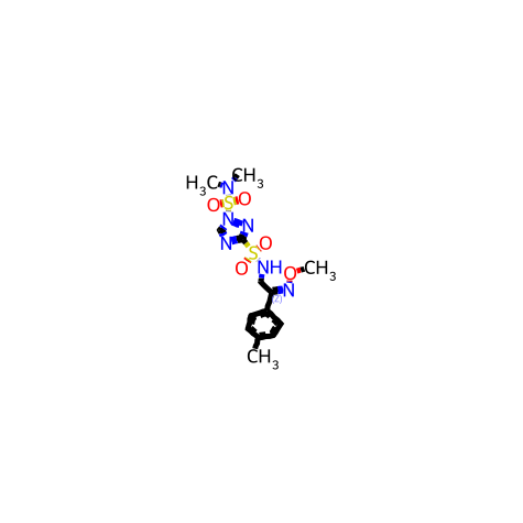 CO/N=C(\CNS(=O)(=O)c1ncn(S(=O)(=O)N(C)C)n1)c1ccc(C)cc1